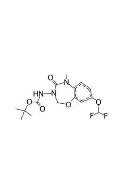 CN1C(=O)N(NC(=O)OC(C)(C)C)COc2cc(OC(F)F)ccc21